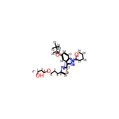 C[C@@H](O)CCOCCCc1csc(-c2nn(C3CCCCO3)c3ccc(O[Si](C)(C)C(C)(C)C)cc23)n1